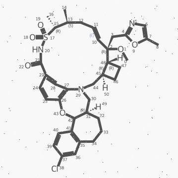 CO[C@@]1(Cc2ncc(C)o2)/C=C/C[C@H](C)[C@@H](C)S(=O)(=O)NC(=O)c2ccc3c(c2)N(C[C@H]2CCCc4cc(Cl)ccc4C2O3)C[C@@H]2CC[C@H]21